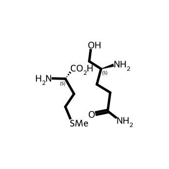 CSCC[C@H](N)C(=O)O.NC(=O)CC[C@H](N)CO